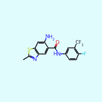 Cc1nc2cc(C(=O)Nc3ccc(F)c(C(F)(F)F)c3)c(N)cc2s1